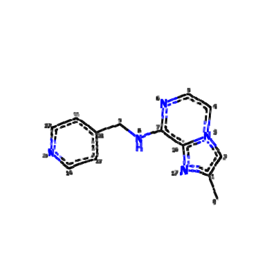 Cc1cn2ccnc(NCc3ccncc3)c2n1